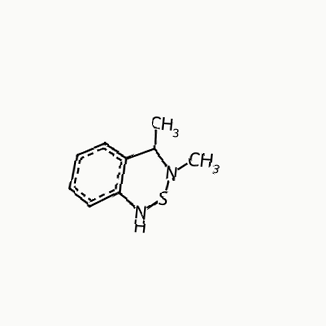 CC1c2ccccc2NSN1C